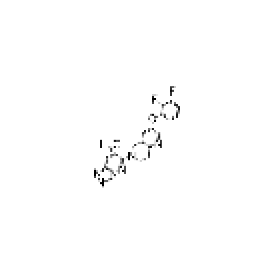 Cc1cc2nncn2nc1N1CCc2ncc(Oc3cccc(F)c3F)cc2C1